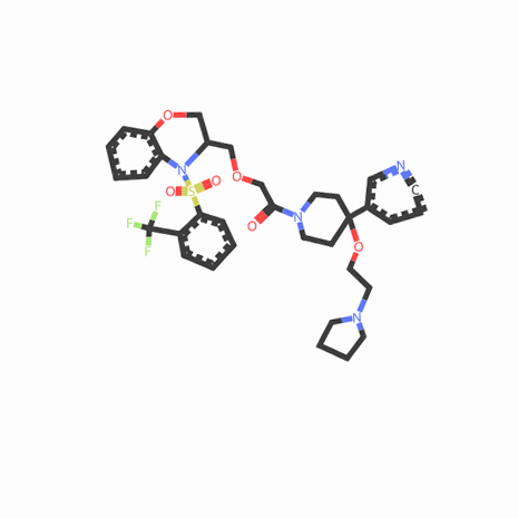 O=C(COCC1COc2ccccc2N1S(=O)(=O)c1ccccc1C(F)(F)F)N1CCC(OCCN2CCCC2)(c2cccnc2)CC1